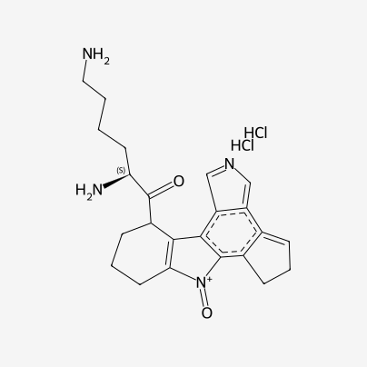 Cl.Cl.NCCCC[C@H](N)C(=O)C1CCCC2=C1c1c(c3c(c4c1C=NC=4)=CCC3)[N+]2=O